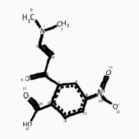 CN(C)/C=C/C(=O)c1cc([N+](=O)[O-])ccc1C(=O)O